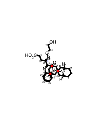 CCCC1CCC[C@@H](N2[C@@H]3CCC[C@H]2C[C@@H](n2c(=O)c(/C(CCC(=O)O)=N/OCCO)nc4ccccc42)C3)C1